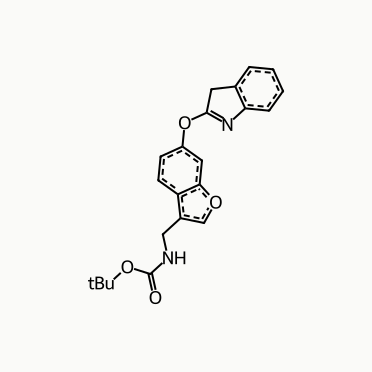 CC(C)(C)OC(=O)NCc1coc2cc(OC3=Nc4ccccc4C3)ccc12